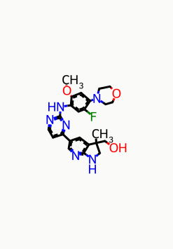 COc1cc(N2CCOCC2)c(F)cc1Nc1nccc(-c2cnc3c(c2)C(C)(CO)CN3)n1